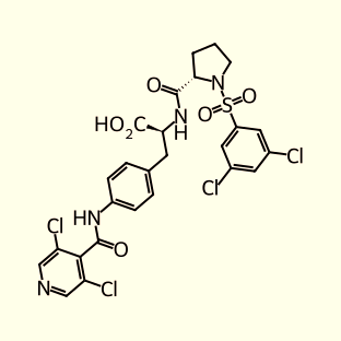 O=C(Nc1ccc(C[C@H](NC(=O)[C@@H]2CCCN2S(=O)(=O)c2cc(Cl)cc(Cl)c2)C(=O)O)cc1)c1c(Cl)cncc1Cl